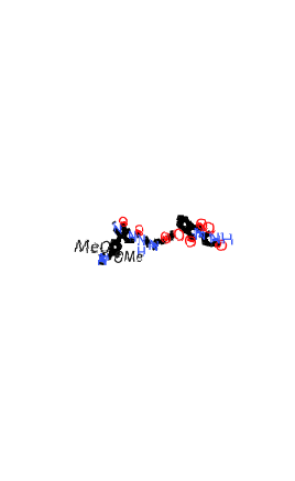 COc1cc(-c2cn(C)c(=O)c3c2CCN(C(=O)NCCN(C)CCOCCOc2cccc4c2C(=O)N(C2CCC(=O)NC2=O)C4=O)C3)cc(OC)c1CN(C)C